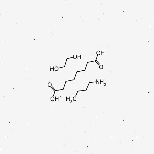 CCCCN.O=C(O)CCCCCCC(=O)O.OCCO